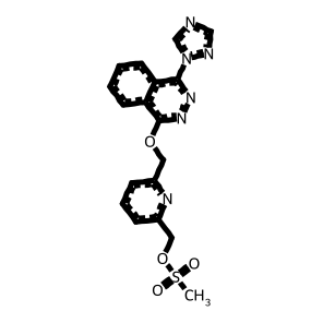 CS(=O)(=O)OCc1cccc(COc2nnc(-n3cncn3)c3ccccc23)n1